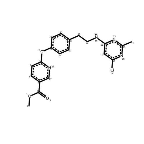 COC(=O)c1ccc(Oc2ccc(CCNc3cc(Cl)nc(C)n3)cc2)nc1